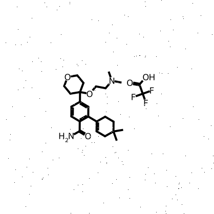 CN(C)CCOC1(c2ccc(C(N)=O)c(C3=CCC(C)(C)CC3)c2)CCOCC1.O=C(O)C(F)(F)F